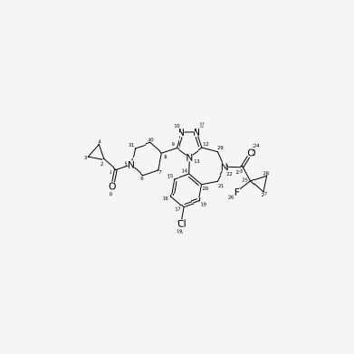 O=C(C1CC1)N1CCC(c2nnc3n2-c2ccc(Cl)cc2CN(C(=O)C2(F)CC2)C3)CC1